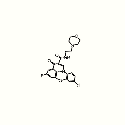 O=C(NCCN1CCOCC1)c1cn2c3c(cc(F)cc3c1=O)Oc1cc(Cl)ccc1-2